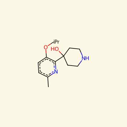 Cc1ccc(OC(C)C)c(C2(O)CCNCC2)n1